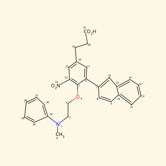 CN(CCOc1c(-c2ccc3ccccc3c2)cc(CCC(=O)O)cc1[N+](=O)[O-])c1ccccc1